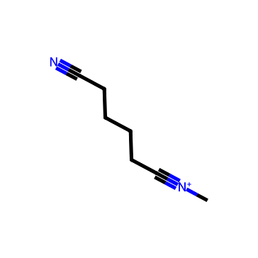 C[N+]#CCCCCC#N